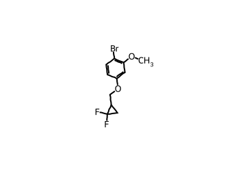 COc1cc(OCC2CC2(F)F)ccc1Br